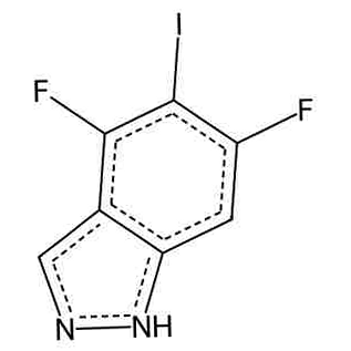 Fc1cc2[nH]ncc2c(F)c1I